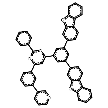 c1ccc(-c2nc(-c3cccc(-c4cccnc4)c3)cc(-c3cc(-c4ccc5c(c4)oc4ccccc45)cc(-c4ccc5c(c4)oc4ccccc45)c3)n2)cc1